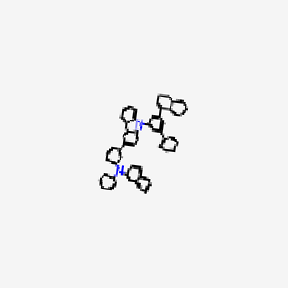 c1ccc(-c2cc(-c3cccc4ccccc34)cc(-n3c4ccccc4c4cc(-c5cccc(N(c6ccccc6)c6ccc7ccccc7c6)c5)ccc43)c2)cc1